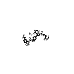 Nc1ncnn2c(C(=O)NCC3CNCCO3)cc(-c3ccc(NC(=O)Nc4cc(C(F)(F)F)ccc4Cl)cc3)c12